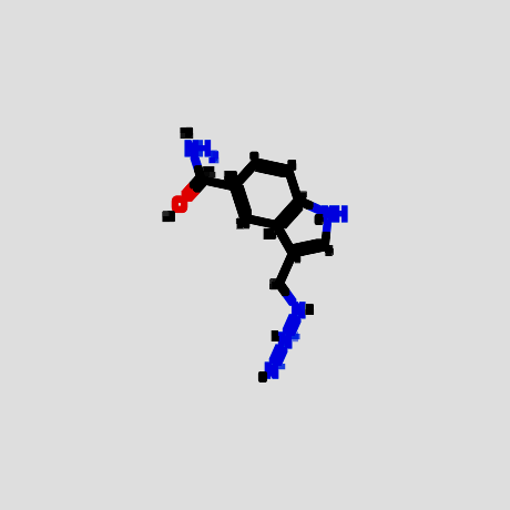 [N-]=[N+]=NCc1c[nH]c2ccc(C(N)=O)cc12